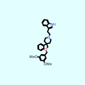 COc1cc(COCC2(c3ccccc3)CCN(CCc3c[nH]c4ccccc34)CC2)cc(OC)c1